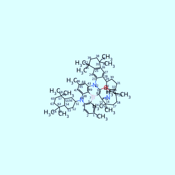 Cc1ccc2c(c1)B1C3=C(OC4N=C3C(C)(C)CCC4(C)C)N(c3cc4c(cc3C3CCCCC3)C(C)(C)CCC4(C)C)c3cc(C)cc(c31)N2C1CCC2C(C1)C(C)(C)CCC2(C)C